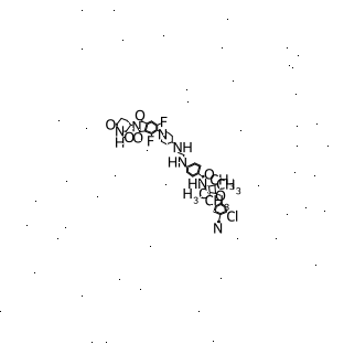 CC1(C)[C@H](NC(=O)c2ccc(NCCNC3CCN(c4c(F)cc5c(c4F)C(=O)N(C4CCC(=O)NC4=O)C5=O)CC3)cc2)C(C)(C)[C@H]1Oc1ccc(C#N)c(Cl)c1